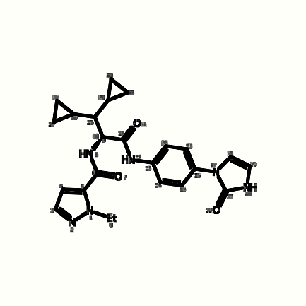 CCn1nccc1C(=O)N[C@H](C(=O)Nc1ccc(-n2cc[nH]c2=O)cc1)C(C1CC1)C1CC1